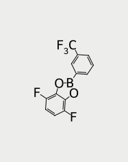 Fc1ccc(F)c2c1OB(c1cccc(C(F)(F)F)c1)O2